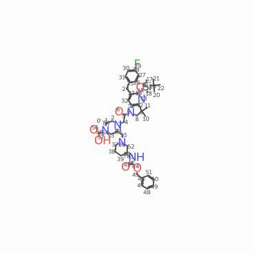 C[C@@H]1CN(CC(=O)N2CC(C)(C)c3nc(O[Si](C)(C)C(C)(C)C)c(Cc4ccc(F)cc4)cc32)[C@@H](CN2CCC[C@@H](NC(=O)OCc3ccccc3)C2)CN1C(=O)O